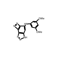 COc1cc(Nc2cc3[nH]nnc3c3c2N=N3)cc(OC)c1